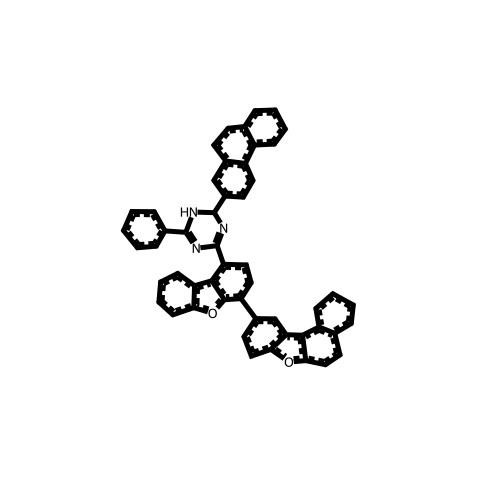 c1ccc(C2=NC(c3ccc(-c4ccc5oc6ccc7ccccc7c6c5c4)c4oc5ccccc5c34)=NC(c3ccc4c(ccc5ccccc54)c3)N2)cc1